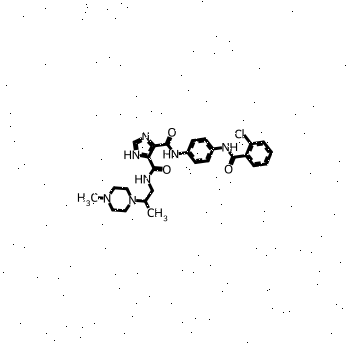 CC(CNC(=O)c1[nH]cnc1C(=O)Nc1ccc(NC(=O)c2ccccc2Cl)cc1)N1CCN(C)CC1